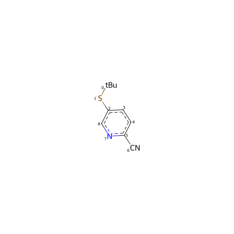 CC(C)(C)Sc1ccc(C#N)nc1